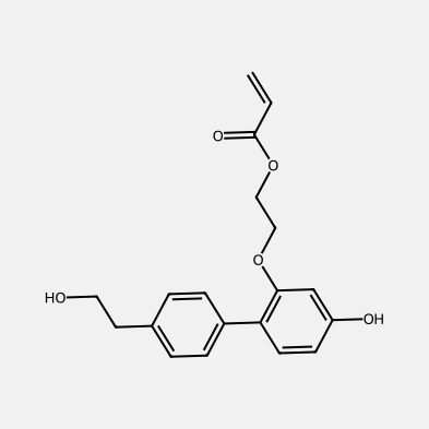 C=CC(=O)OCCOc1cc(O)ccc1-c1ccc(CCO)cc1